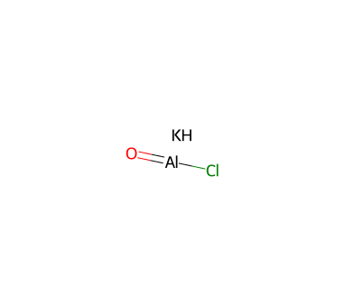 [KH].[O]=[Al][Cl]